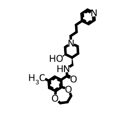 Cc1cc2c(c(C(=O)NC[C@@H]3CCN(CCCc4ccncc4)C[C@H]3O)c1)OCCCO2